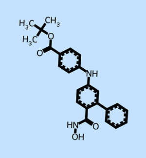 CC(C)(C)OC(=O)c1ccc(Nc2ccc(C(=O)NO)c(-c3ccccc3)c2)cc1